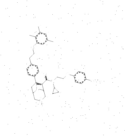 COc1ccc(OCCN(C(=O)C2=C(c3ccc(CCOc4cc(C)cc(C)c4C)cc3)CC3CN(C(C)=O)CC2N3)C2CC2)cc1